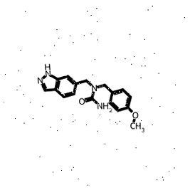 COc1ccc(CN(Cc2ccc3cn[nH]c3c2)C(N)=O)cc1